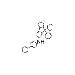 C1=CCCC(C2(c3ccccc3)c3ccccc3-c3ccc(Nc4ccc(-c5ccccc5)cc4)cc32)=C1